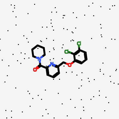 O=C(c1cccc(COc2cccc(Cl)c2Cl)n1)N1CCCCC1